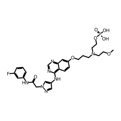 COCCN(CCCOc1ccc2c(Nc3cnn(CC(=O)Nc4cccc(F)c4)c3)ncnc2c1)CCOP(=O)(O)O